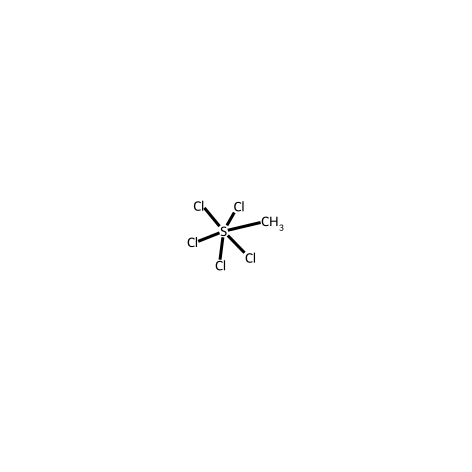 CS(Cl)(Cl)(Cl)(Cl)Cl